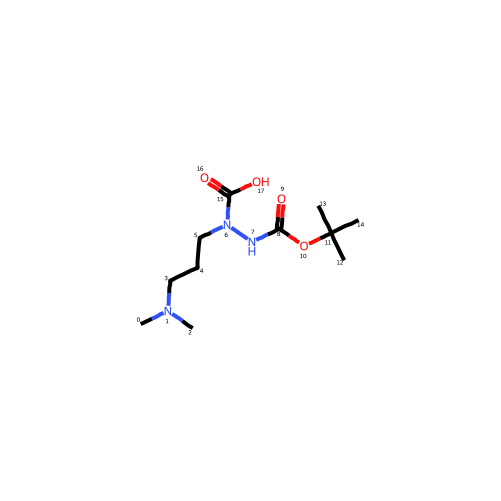 CN(C)CCCN(NC(=O)OC(C)(C)C)C(=O)O